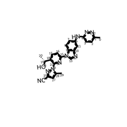 Cc1ccc(Nc2ccc3c(c2)ncn3-c2ccc([C@@H](C)O)c(-n3nc(C#N)cc3C)n2)nn1